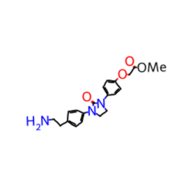 COC(=O)COc1ccc(N2CCN(c3ccc(CCN)cc3)C2=O)cc1